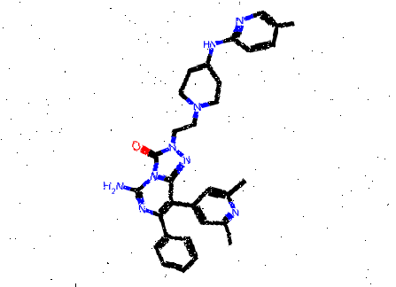 Cc1ccc(NC2CCN(CCn3nc4c(-c5cc(C)nc(C)c5)c(-c5ccccc5)nc(N)n4c3=O)CC2)nc1